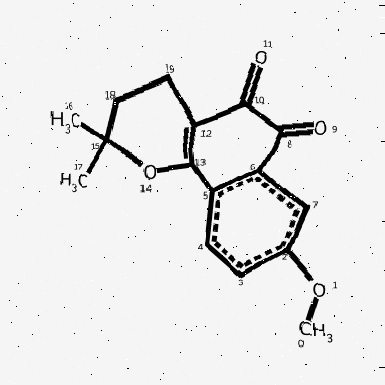 COc1ccc2c(c1)C(=O)C(=O)C1=C2OC(C)(C)CC1